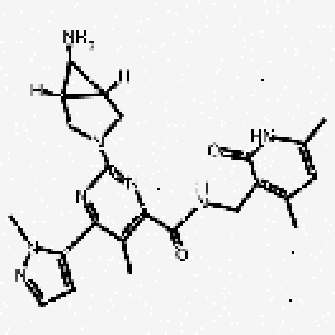 Cc1cc(C)c(CNC(=O)c2nc(N3C[C@@H]4[C@@H](N)[C@@H]4C3)nc(-c3ccnn3C)c2C)c(=O)[nH]1